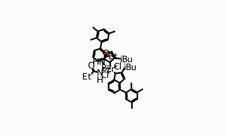 CCC(=O)N[B](NC(=O)CC)[Zr]([Cl])([Cl])([CH]1C(C(C)CC)=Cc2c(-c3cc(C)cc(C)c3C)cccc21)[CH]1C(C(C)CC)=Cc2c(-c3cc(C)cc(C)c3C)cccc21